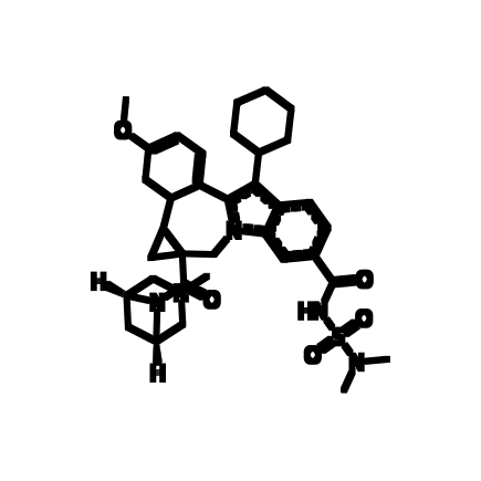 COC1=CC=C2c3c(C4CCCCC4)c4ccc(C(=O)NS(=O)(=O)N(C)C)cc4n3CC3(C(=O)N4[C@@H]5C[C@H]4CN(C)C5)CC3C2C1